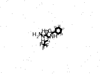 C[C@@H](N[C@H](CCC(F)(F)F)C(=O)NN)c1ccccc1